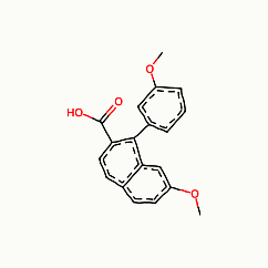 COc1cccc(-c2c(C(=O)O)ccc3ccc(OC)cc23)c1